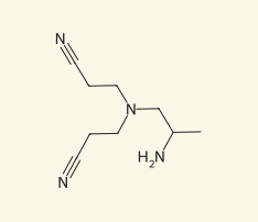 CC(N)CN(CCC#N)CCC#N